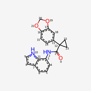 O=C(Nc1cccc2cc[nH]c12)C1(c2ccc3c(c2)OCO3)CC1